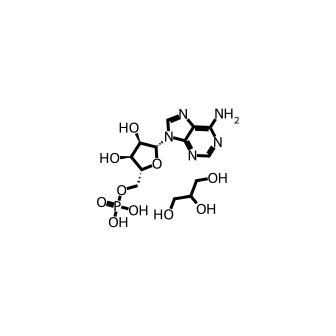 Nc1ncnc2c1ncn2[C@@H]1O[C@H](COP(=O)(O)O)[C@@H](O)[C@H]1O.OCC(O)CO